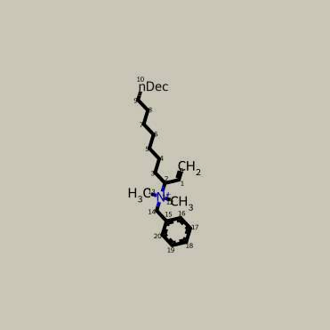 C=CC(CCCCCCCCCCCCCCCCC)[N+](C)(C)Cc1ccccc1